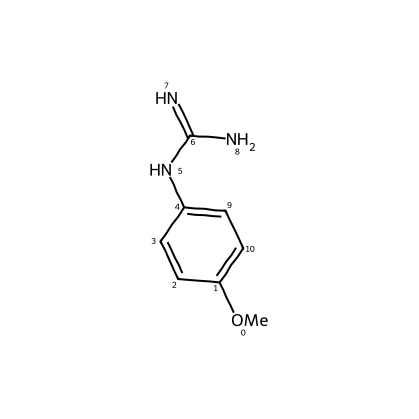 COc1ccc(NC(=N)N)cc1